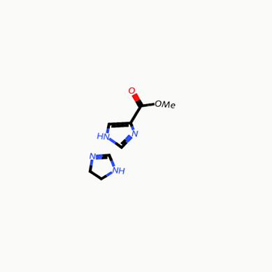 C1=NCCN1.COC(=O)c1c[nH]cn1